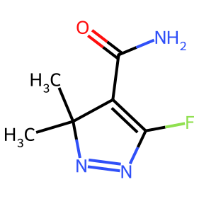 CC1(C)N=NC(F)=C1C(N)=O